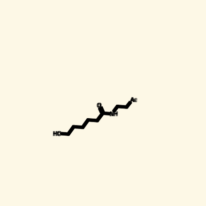 CC(=O)CCNC(=O)CCCCCO